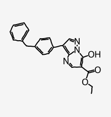 CCOC(=O)c1cnc2c(-c3ccc(Cc4ccccc4)cc3)cnn2c1O